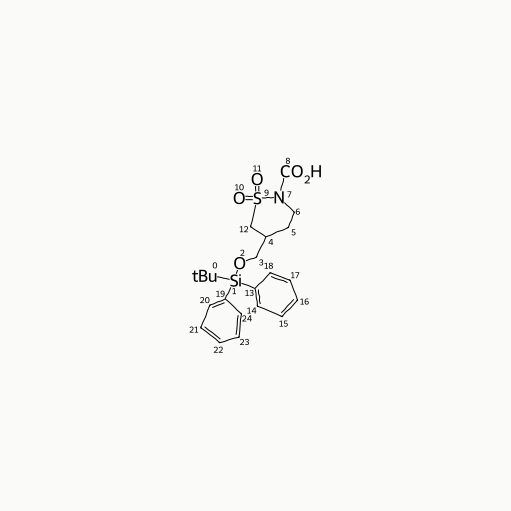 CC(C)(C)[Si](OCC1CCN(C(=O)O)S(=O)(=O)C1)(c1ccccc1)c1ccccc1